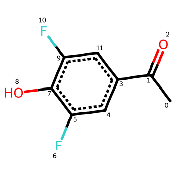 CC(=O)c1cc(F)c(O)c(F)c1